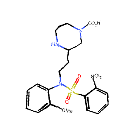 COc1ccccc1N(CCC1CN(C(=O)O)CCN1)S(=O)(=O)c1ccccc1[N+](=O)[O-]